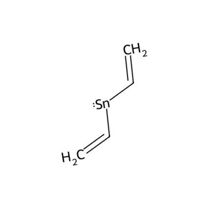 C=[CH][Sn][CH]=C